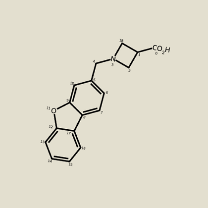 O=C(O)C1CN(Cc2ccc3c(c2)oc2ccccc23)C1